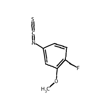 COc1cc(N=C=S)ccc1F